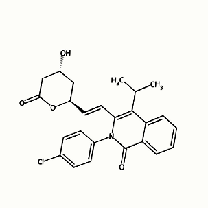 CC(C)c1c(/C=C/[C@@H]2C[C@@H](O)CC(=O)O2)n(-c2ccc(Cl)cc2)c(=O)c2ccccc12